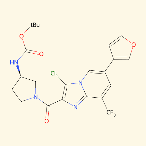 CC(C)(C)OC(=O)N[C@@H]1CCN(C(=O)c2nc3c(C(F)(F)F)cc(-c4ccoc4)cn3c2Cl)C1